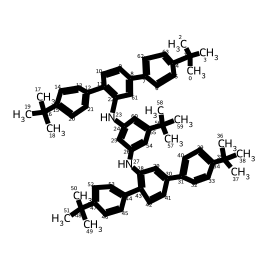 CC(C)(C)c1ccc(-c2ccc(-c3ccc(C(C)(C)C)cc3)c(Nc3cc(Nc4cc(-c5ccc(C(C)(C)C)cc5)ccc4-c4ccc(C(C)(C)C)cc4)cc(C(C)(C)C)c3)c2)cc1